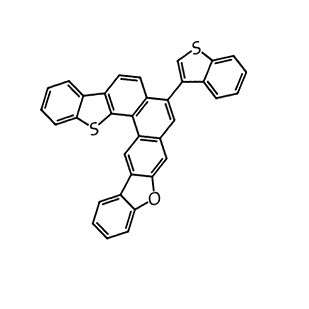 c1ccc2c(c1)oc1cc3cc(-c4csc5ccccc45)c4ccc5c6ccccc6sc5c4c3cc12